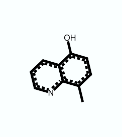 Cc1ccc(O)c2cccnc12